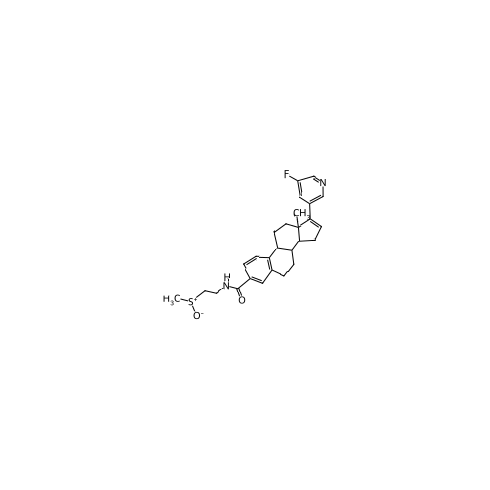 C[S+]([O-])CCNC(=O)c1ccc2c(c1)CCC1C2CCC2(C)C(c3cncc(F)c3)=CCC12